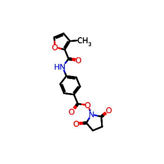 Cc1ccoc1C(=O)Nc1ccc(C(=O)ON2C(=O)CCC2=O)cc1